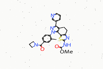 COC(=O)Nc1nc2c(s1)-c1c(c(-c3cccnc3)nn1-c1ccc(C(=O)N3CCC3)cc1C)CC2